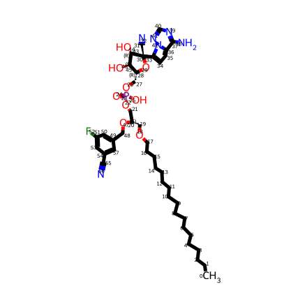 CCCCCCCCCCCCCCCCCCOC[C@@H](COP(=O)(O)OC[C@H]1O[C@@](C#N)(c2ccc3c(N)ncnn23)[C@H](O)[C@@H]1O)OCc1cc(F)cc(C#N)c1